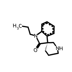 CCCN1C(=O)[C@@]2(CCCNC2)c2ccccc21